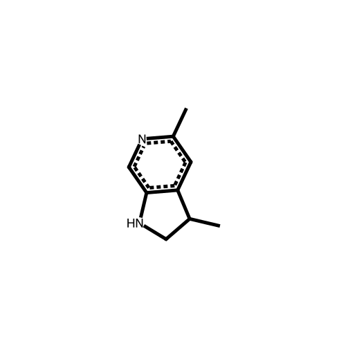 Cc1cc2c(cn1)NCC2C